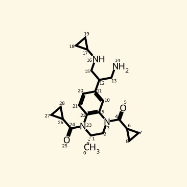 C[C@H]1CN(C(=O)C2CC2)c2cc(C(CN)CNC3CC3)ccc2N1C(=O)C1CC1